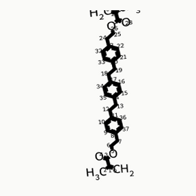 C=C(C)C(=O)OCCc1ccc(CCc2ccc(CCc3ccc(CCOC(=O)C(=C)C)cc3)cc2)cc1